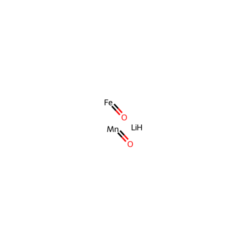 [LiH].[O]=[Fe].[O]=[Mn]